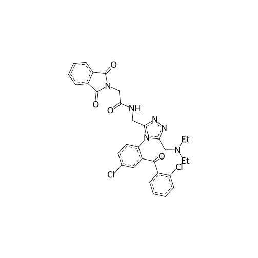 CCN(CC)Cc1nnc(CNC(=O)CN2C(=O)c3ccccc3C2=O)n1-c1ccc(Cl)cc1C(=O)c1ccccc1Cl